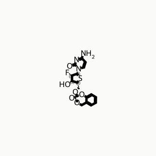 Nc1ccn([C@@H]2S[C@H](COP3(=O)OCc4ccccc4O3)[C@@H](O)[C@@H]2F)c(=O)n1